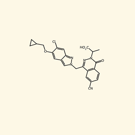 CC(C(=O)O)n1nc(Cn2cc3cc(OCC4CC4)c(Cl)cc3n2)c2cc(C#N)ccc2c1=O